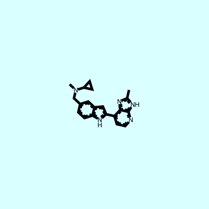 Cc1nc2c(-c3cc4cc(CN(C)C5CC5)ccc4[nH]3)ccnc2[nH]1